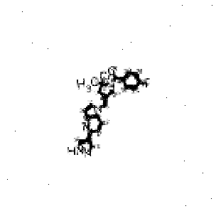 CC1(C)CC(Cn2ccc3nc(-c4cn[nH]c4)ccc32)CN1C(=O)c1ccc(F)cc1